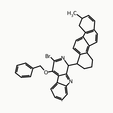 CC1C=Cc2ccc3c4c(ccc3c2C1)C(C1N=C(Br)C(OCc2ccccc2)=C2C1=Nc1c[c]ccc12)CCC4